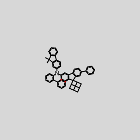 CC1(C)c2ccccc2-c2ccc(N(c3ccc4c(c3)-c3ccc(-c5ccccc5)cc3C43C4CC5CC6CC3C564)c3ccccc3-c3ccccc3)cc21